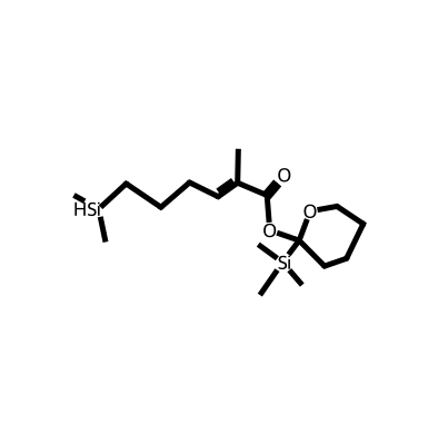 CC(=CCCC[SiH](C)C)C(=O)OC1([Si](C)(C)C)CCCCO1